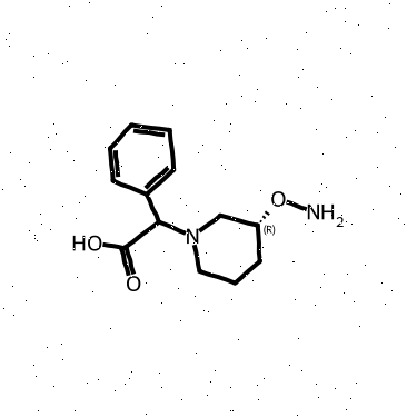 NO[C@@H]1CCCN(C(C(=O)O)c2ccccc2)C1